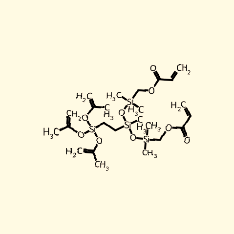 C=CC(=O)OC[Si](C)(C)O[Si](C)(CC[Si](OC(=C)C)(OC(=C)C)OC(=C)C)O[Si](C)(C)COC(=O)C=C